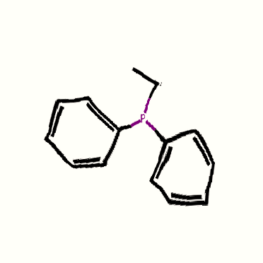 C[C]P(c1ccccc1)c1ccccc1